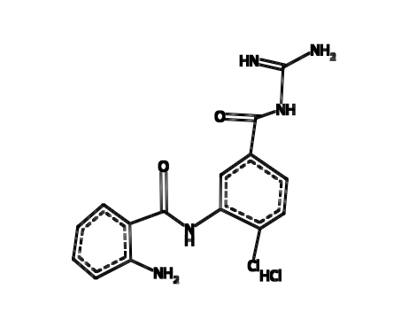 Cl.N=C(N)NC(=O)c1ccc(Cl)c(NC(=O)c2ccccc2N)c1